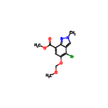 COCOc1cc(C(=O)OC)c2nn(C)cc2c1Br